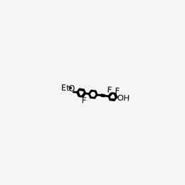 CCOCc1ccc(C2CCC(C#Cc3ccc(O)c(F)c3F)CC2)c(F)c1